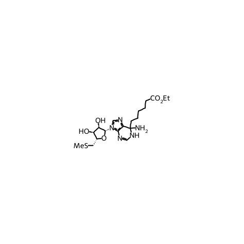 CCOC(=O)CCCCCC1(N)NC=Nc2c1ncn2[C@@H]1O[C@H](CSC)[C@@H](O)[C@H]1O